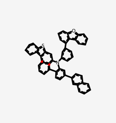 c1ccc(-c2ccc(-c3ccc4ccccc4c3)cc2N(c2cccc(-c3cccc4oc5ccccc5c34)c2)c2ccc3c(c2)sc2ccccc23)cc1